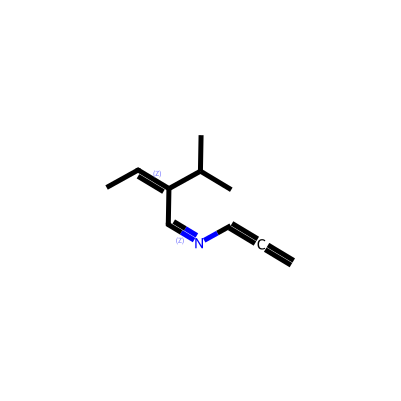 C=C=C/N=C\C(=C/C)C(C)C